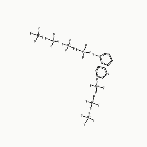 F[B-](F)(F)F.F[B-](F)(F)F.F[B-](F)(F)F.F[B-](F)(F)F.F[B-](F)(F)F.F[B-](F)(F)F.F[B-](F)(F)F.F[n+]1ccccc1.c1ccncc1